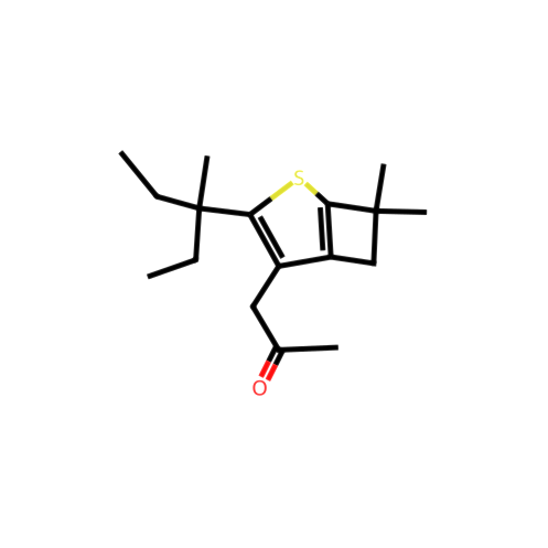 CCC(C)(CC)c1sc2c(c1CC(C)=O)CC2(C)C